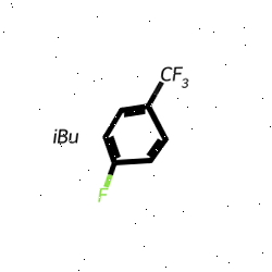 CC[C@H](C)c1cc(C(F)(F)F)ccc1F